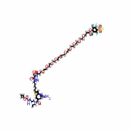 CCCN(CCCNC(=O)OC1CCC1)C(=O)C1=Cc2sc(CCCCCNC(=O)[C@H](CO)NC(=O)CCOCCOCCOCCOCCOCCOCCOCCOCCOCCOCCC(=O)Oc3c(F)c(F)c([SH](=O)=O)c(F)c3F)cc2N=C(N)C1